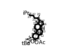 CC(=O)O[C@@]1(O[Si](C)(C)C(C)(C)C)CC[C@@]2(C)C(=CC[C@H]3[C@@H]4CC[C@H]([C@H](C)CCCC(C)C)[C@@]4(C)CC[C@@H]32)C1